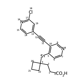 O=C(O)CCC1(Sc2ccncc2C#Cc2ccnc(Cl)c2)CCC1